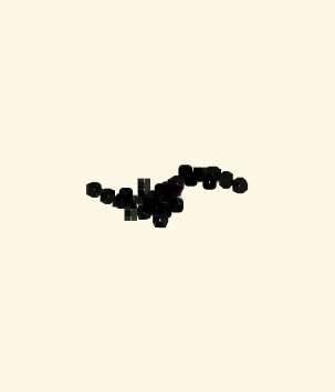 CC(C)(OC(=O)NCCNC(=O)OC[C@@]1(C)[C@H](C(=O)OC(c2ccccc2)c2ccccc2)N2C(=O)/C(=C/c3cc(C(=O)OCCNC(=O)OC(C)(C)c4ccc(-c5ccccc5)cc4)ccn3)[C@H]2S1(=O)=O)c1ccc(-c2ccccc2)cc1